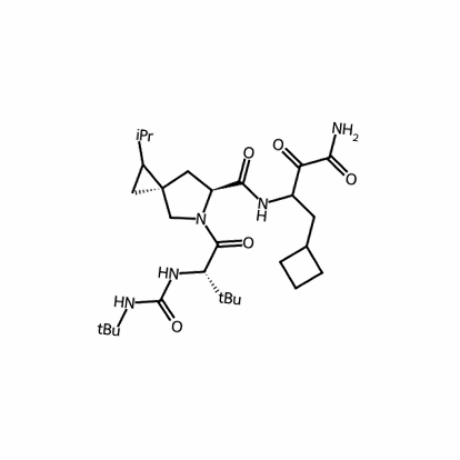 CC(C)C1C[C@@]12C[C@@H](C(=O)NC(CC1CCC1)C(=O)C(N)=O)N(C(=O)[C@@H](NC(=O)NC(C)(C)C)C(C)(C)C)C2